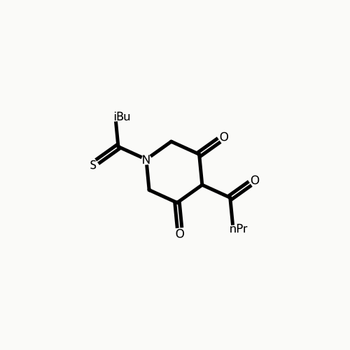 CCCC(=O)C1C(=O)CN(C(=S)C(C)CC)CC1=O